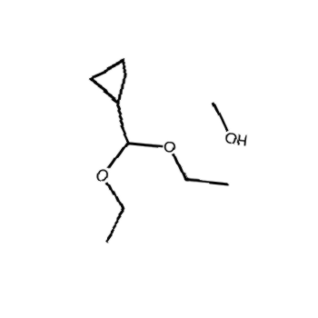 CCOC(OCC)C1CC1.CO